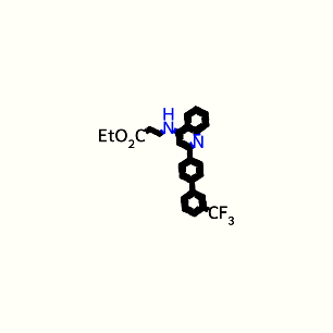 CCOC(=O)CCNc1cc(-c2ccc(-c3cccc(C(F)(F)F)c3)cc2)nc2ccccc12